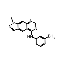 Bc1cccc(Nc2ncnc3cc4c(cnn4C)cc23)c1